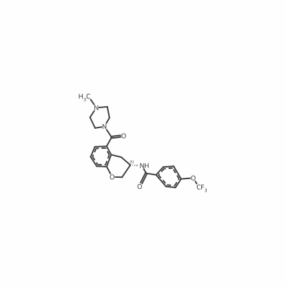 CN1CCN(C(=O)c2cccc3c2C[C@H](NC(=O)c2ccc(OC(F)(F)F)cc2)CO3)CC1